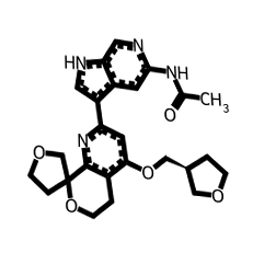 CC(=O)Nc1cc2c(-c3cc(OC[C@H]4CCOC4)c4c(n3)C3(CCOC3)OCC4)c[nH]c2cn1